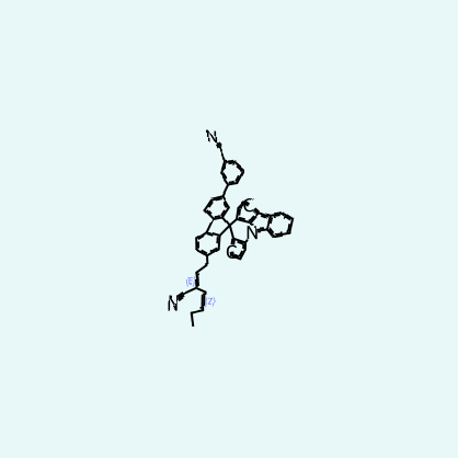 CC/C=C\C(C#N)=C/Cc1ccc2c(c1)C1(c3cc(-c4cccc(C#N)c4)ccc3-2)c2ccccc2-n2c3ccccc3c3cccc1c32